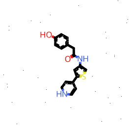 O=C(Cc1ccc(O)cc1)Nc1csc(C2=CCNC=C2)c1